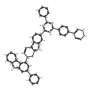 C1=CC(c2ccc(-c3nc(-c4ccccc4)nc(-c4ccc5c6c(oc5c4)CC(c4cc(-c5ccccc5)cc5sc7ccccc7c45)C=C6)n3)cc2)=CCC1